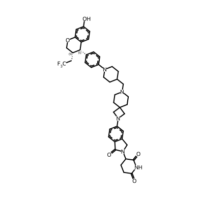 O=C1CCC(N2Cc3cc(N4CC5(CCN(CC6CCN(c7ccc([C@H]8c9ccc(O)cc9OC[C@H]8CC(F)(F)F)cc7)CC6)CC5)C4)ccc3C2=O)C(=O)N1